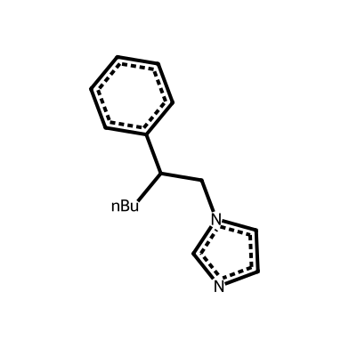 CCCCC(Cn1ccnc1)c1ccccc1